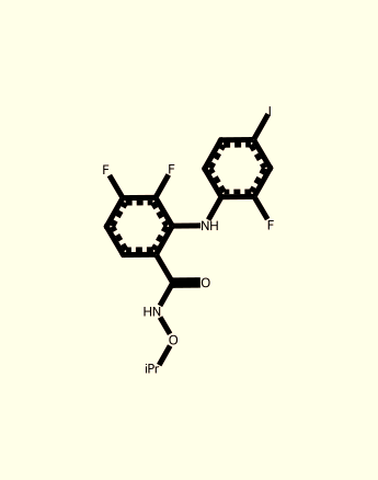 CC(C)ONC(=O)c1ccc(F)c(F)c1Nc1ccc(I)cc1F